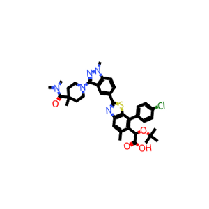 Cc1cc2nc(-c3ccc4c(c3)c(N3CCC(C)(C(=O)N(C)C)CC3)nn4C)sc2c(-c2ccc(Cl)cc2)c1C(OC(C)(C)C)C(=O)O